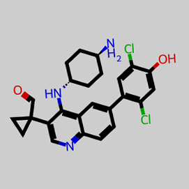 N[C@H]1CC[C@H](Nc2c(C3(C=O)CC3)cnc3ccc(-c4cc(Cl)c(O)cc4Cl)cc23)CC1